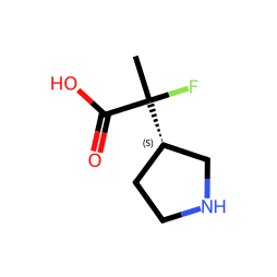 CC(F)(C(=O)O)[C@H]1CCNC1